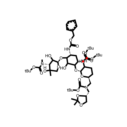 CN(C(=O)OC(C)(C)C)[C@@H]1C(O)[C@@H](OC2C(O)C(O[C@H]3O[C@H](CN(C[C@@H]4COC(C)(C)O4)C(=O)OC(C)(C)C)CCC3NC(=O)OC(C)(C)C)[C@@H](NC(=O)OC(C)(C)C)C[C@H]2NC(=O)OCc2ccccc2)OCC1(C)O